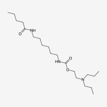 CCCCC(=O)NCCCCCCNC(=O)OCCN(CCC)CCC